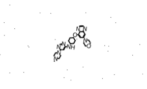 CN1CCN(c2cc(N[C@H]3CC[C@@H](Oc4cc(N5CCOCC5)cc5nccnc45)CC3)ncn2)CC1